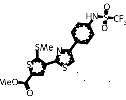 COC(=O)c1cc(-c2nc(-c3ccc(NS(=O)(=O)C(F)(F)F)cc3)cs2)c(SC)s1